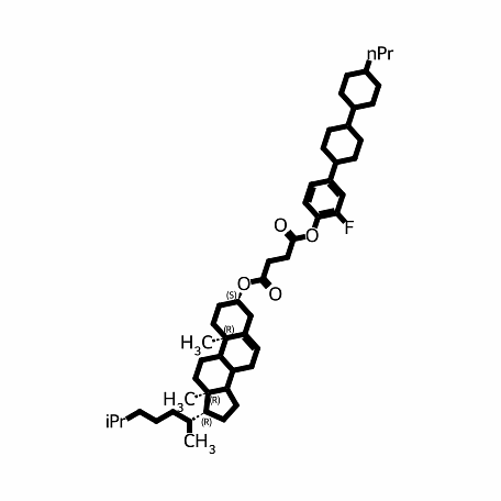 CCCC1CCC(C2CCC(c3ccc(OC(=O)CCC(=O)O[C@H]4CC[C@@]5(C)C(=CCC6C5CC[C@@]5(C)C6CC[C@@H]5C(C)CCCC(C)C)C4)c(F)c3)CC2)CC1